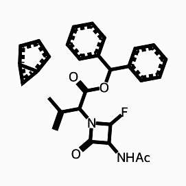 C=C(C)C(C(=O)OC(c1ccccc1)c1ccccc1)N1C(=O)C(NC(C)=O)C1F.c1cc2cc-2c1